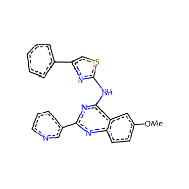 COc1ccc2nc(-c3cccnc3)nc(Nc3nc(-c4ccccc4)cs3)c2c1